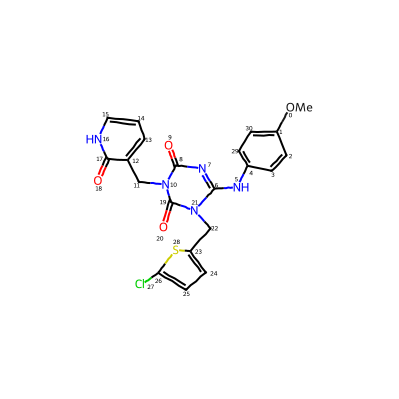 COc1ccc(Nc2nc(=O)n(Cc3ccc[nH]c3=O)c(=O)n2Cc2ccc(Cl)s2)cc1